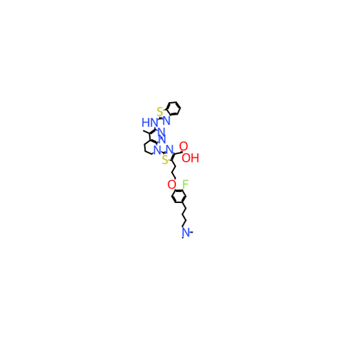 Cc1c(Nc2nc3ccccc3s2)nnc2c1CCCN2c1nc(C(=O)O)c(CCCOc2ccc(CCCCN(C)C)cc2F)s1